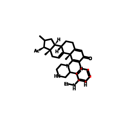 CCNc1cccnc1C1CNCCN1C1=C(N2CCNCC2)C(=O)C=C2CC[C@@H]3C(=CC[C@]4(C)[C@@H](C(C)=O)C(C)C[C@@H]34)[C@]21C